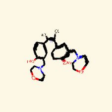 CC/C(=C(\CC)c1ccc(O)c(CN2CCOCC2)c1)c1ccc(O)c(CN2CCOCC2)c1